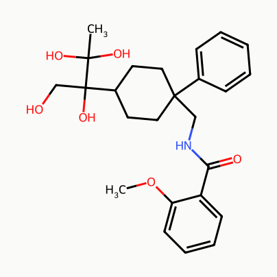 COc1ccccc1C(=O)NCC1(c2ccccc2)CCC(C(O)(CO)C(C)(O)O)CC1